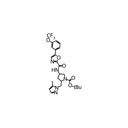 Cc1ccnn1CC1CC(NC(=O)c2ncc(-c3cccc(OC(F)(F)F)c3)o2)CN1C(=O)OC(C)(C)C